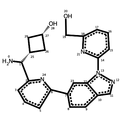 NC(c1cccc(-c2ccc3cnn(-c4cccc(CO)n4)c3c2)n1)[C@H]1C[C@@H](O)C1